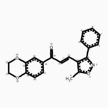 Cc1onc(-c2ccccc2)c1/C=C/C(=O)c1ccc2c(c1)OCCO2